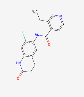 CCc1cnccc1C(=O)Nc1cc2c(cc1F)NC(=O)CC2